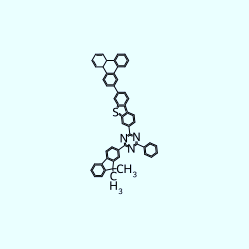 CC1(C)c2ccccc2-c2ccc(-c3nc(-c4ccccc4)nc(-c4ccc5c(c4)sc4cc(-c6ccc7c(c6)-c6ccccc6C6C=CC=CC76)ccc45)n3)cc21